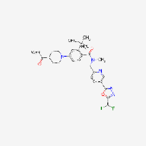 CNC(=O)C1CCN(c2ccc(C(=O)N(C)Cc3ccc(-c4nnc(C(F)F)o4)cn3)c(C(C)(C)C=O)c2)CC1